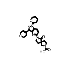 O=C(O)N1CCC2(CCN(c3ccc4c(n3)c(C3=CCOCC3)nn4C3CCCCO3)C2=O)C1